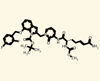 COC(=O)N[C@@H](CC/C=C/C(N)=O)C(=O)Nc1cccn(Cc2cc3cccc(OCc4ccc(F)cc4F)c3n2C(=O)OC(C)(C)C)c1=O